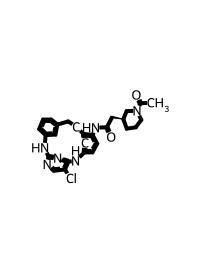 CC(=O)N1CCC[C@@H](CC(=O)Nc2ccc3cc2CCc2cccc(c2)Nc2ncc(Cl)c(n2)N3)C1